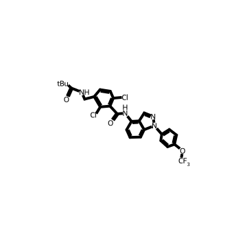 CC(C)(C)C(=O)NCc1ccc(Cl)c(C(=O)Nc2cccc3c2cnn3-c2ccc(OC(F)(F)F)cc2)c1Cl